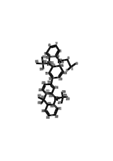 CC(C)CN1c2ccccc2N(C(C)(C)C)C2C=C(c3ccc4c(c3)N(C(C)(C)C)C3C=CC=CC3C4(C)C)C=CC21